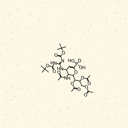 CC(=O)NC1C(NC(=NC(=O)OC(C)(C)C)NC(=O)OC(C)(C)C)C=C(P(=O)(O)O)OC1C(OC(C)=O)C(COC(C)=O)OC(C)=O